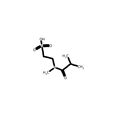 CC(C)C(=O)N(C)CCS(=O)(=O)O